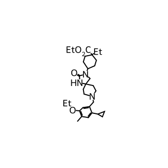 CCOC(=O)C1(CC)CCC(N2CC3(CCN(Cc4cc(OCC)c(C)cc4C4CC4)CC3)NC2=O)CC1